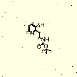 CC(C)(C)OC(=O)NCCc1ncccc1S